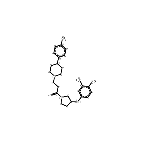 O=Nc1ccc(N[C@H]2CCN(C(=O)CCN3CCC(c4ccc(C(F)(F)F)cc4)CC3)C2)cc1C(F)(F)F